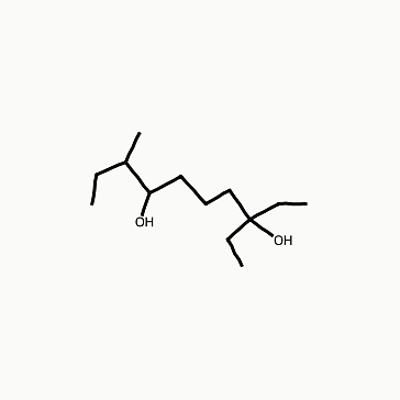 CCC(C)C(O)CCCC(O)(CC)CC